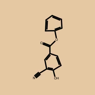 N#Cc1cc(C(=O)Oc2ccccc2)ccc1O